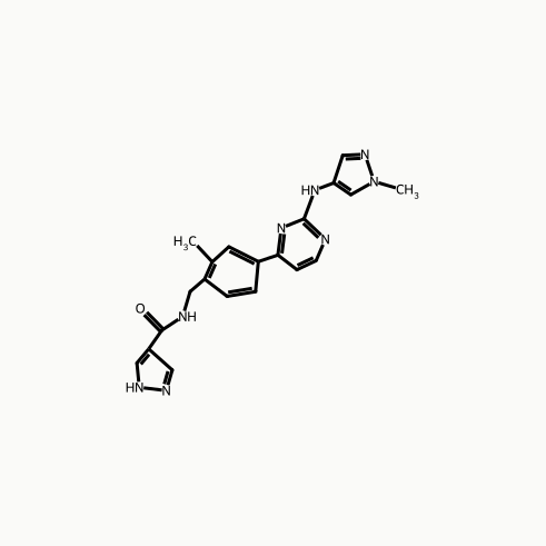 Cc1cc(-c2ccnc(Nc3cnn(C)c3)n2)ccc1CNC(=O)c1cn[nH]c1